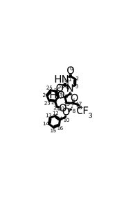 O=c1ccn([C@@H]2O[C@@](COCc3ccccc3)(CC(F)(F)F)[C@@H](OCc3ccccc3)[C@H]2O)c(=O)[nH]1